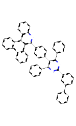 c1ccc(-c2cccc(-c3nc(-c4ccccc4)c(-c4ccc(-c5nc6ccccc6c6c7ccccc7c7ccccc7c56)cc4)c(-c4ccccc4)n3)c2)cc1